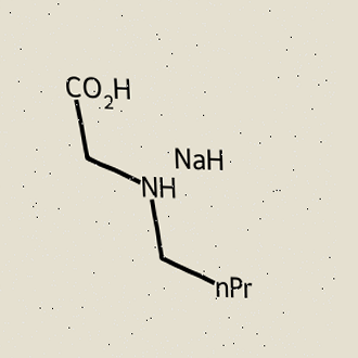 CCCCNCC(=O)O.[NaH]